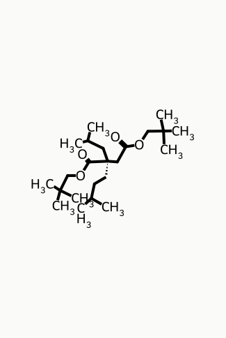 CC(C)CC[C@@](CC(=O)OCC(C)(C)C)(CC(C)C)C(=O)OCC(C)(C)C